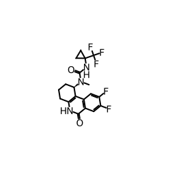 CN(C(=O)NC1(C(F)(F)F)CC1)[C@@H]1CCCc2[nH]c(=O)c3cc(F)c(F)cc3c21